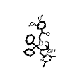 COc1ccc(C(=O)COC(c2ccccc2)(c2ccccc2)[C@H](Cc2nc(C)cc(C)n2)C(=O)O)cc1OC